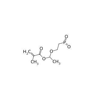 C=C(C)C(=O)OC(C)OCCP(=O)=O